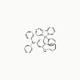 c1ccc(N(c2ccccc2)c2cc(C3(c4ccccc4)c4ccccc4-c4ccccc43)c3c(c2)oc2ccccc23)cc1